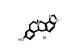 C[N+]12CCc3cc(O)ccc3C1Cc1ccc3c(c1C2)OCO3.[Br-]